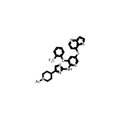 CC(=O)N1CCC(c2csc(Nc3ncc(Sc4ccnc5ccsc45)cc3Oc3ccccc3C(F)(F)F)n2)CC1